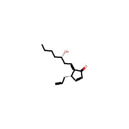 C=CC[C@H]1C=CC(=O)/C1=C/C[C@@H](O)CCCC